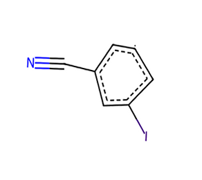 N#Cc1c[c]cc(I)c1